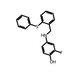 Oc1ccc(NCc2ccccc2Sc2ccccc2)cc1F